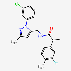 CC(C(=O)NCc1cc(C(F)(F)F)nn1-c1cccc(Cl)c1)c1ccc(C(F)(F)F)c(F)c1